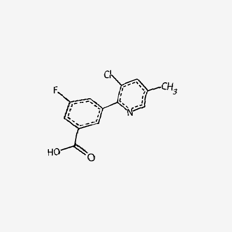 Cc1cnc(-c2cc(F)cc(C(=O)O)c2)c(Cl)c1